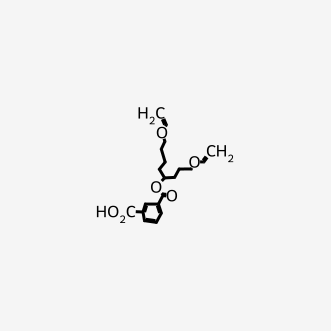 C=COCCCCC(CCCOC=C)OC(=O)c1cccc(C(=O)O)c1